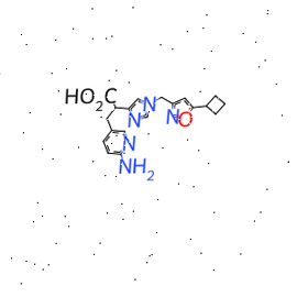 Nc1ccc(CC(C(=O)O)c2cn(Cc3cc(C4CCC4)on3)cn2)cn1